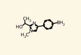 Bc1ccc(-c2cn(C)c(C(C)O)n2)cc1